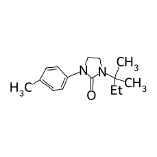 CCC(C)(C)N1CCN(c2ccc(C)cc2)C1=O